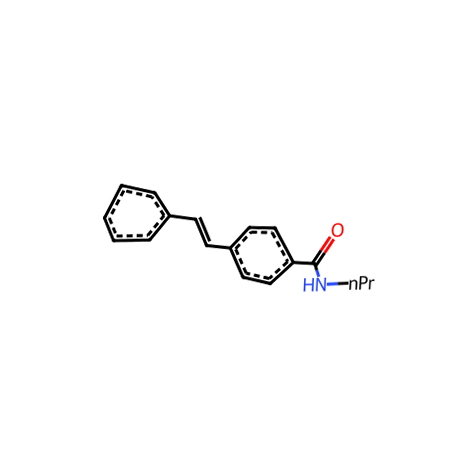 CCCNC(=O)c1ccc(C=Cc2ccccc2)cc1